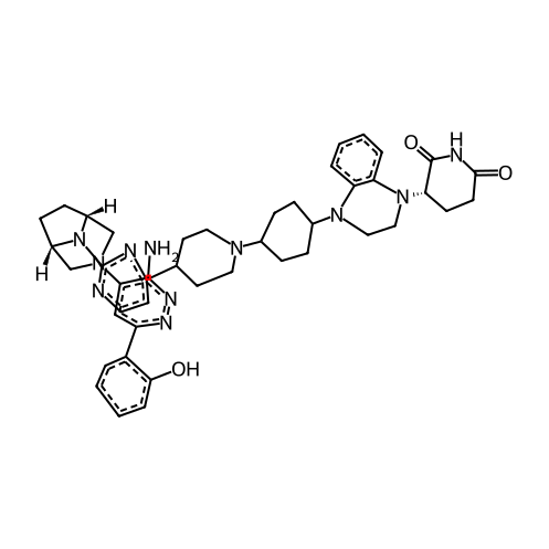 Nc1nnc(-c2ccccc2O)cc1N1C[C@H]2CC[C@@H](C1)N2c1nccc(C2CCN(C3CCC(N4CCN([C@H]5CCC(=O)NC5=O)c5ccccc54)CC3)CC2)n1